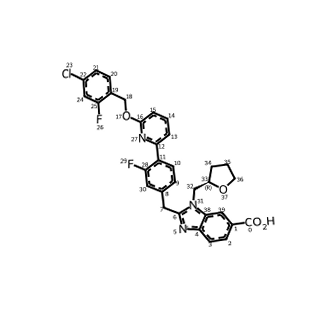 O=C(O)c1ccc2nc(Cc3ccc(-c4cccc(OCc5ccc(Cl)cc5F)n4)c(F)c3)n(C[C@H]3CCCO3)c2c1